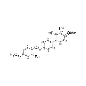 C=Cc1ccc(OCc2ccc(-c3ccc(OC)c(F)c3F)cc2)c(F)c1